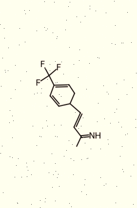 CC(=N)/C=C/C1C=CC(C(F)(F)F)=CC1